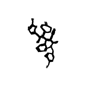 N#Cc1c(N(C(=O)c2cnc(F)s2)C2CCNCC2)c2ccccc2n(Cc2ccc(F)cc2)c1=O